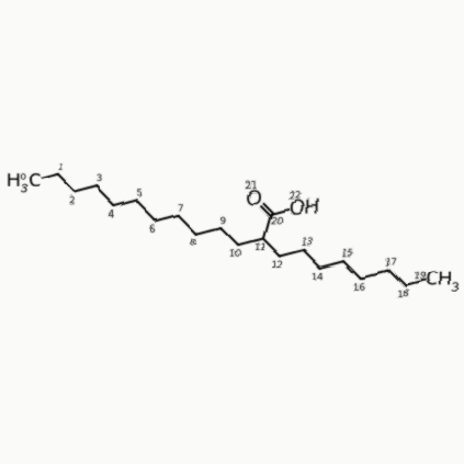 CCCCCCCCCCCC(CCCCCCCC)C(=O)O